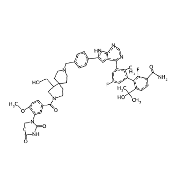 COc1ccc(C(=O)N2CCC3(CCN(Cc4ccc(-c5cc6c(-c7cc(F)cc(-c8c(C(C)(C)O)ccc(C(N)=O)c8F)c7C)ncnc6[nH]5)cc4)CC3)C(CO)C2)cc1N1CCC(=O)NC1=O